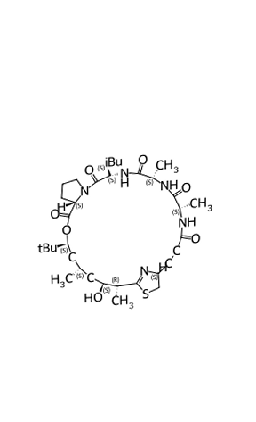 CC[C@H](C)[C@@H]1NC(=O)[C@H](C)NC(=O)[C@H](C)NC(=O)CC[C@H]2CSC(=N2)[C@H](C)[C@@H](O)C[C@H](C)C[C@@H](C(C)(C)C)OC(=O)[C@@H]2CCCN2C1=O